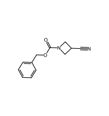 N#CC1CN(C(=O)OCc2ccccc2)C1